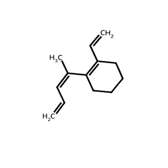 C=C/C=C(/C)C1=C(C=C)CCCC1